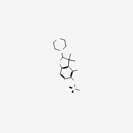 CC(=O)c1c(OS(C)(=O)=O)ccc2c1C(C)(C)C(N1CCOCC1)O2